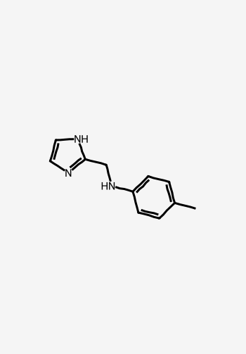 Cc1ccc(NCc2ncc[nH]2)cc1